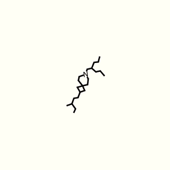 CCCC(CCC)CN1CCC2(CC1)CC(CCC(C)CC)C2